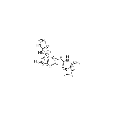 CNC(=S)NS(=O)(=O)c1cc(CC(=O)NC(C)c2cccs2)ccc1SC